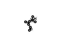 N#Cc1c(-c2ccccc2)nc(-c2ccc3c(c2)c2cc(-c4ccc5oc6ccccc6c5c4)ccc2n3-c2ccccc2)nc1-c1ccccc1